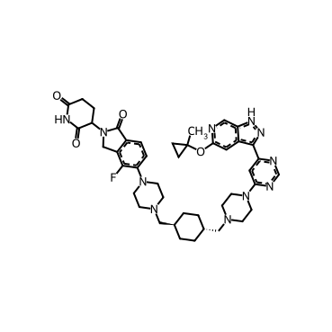 CC1(Oc2cc3c(-c4cc(N5CCN(C[C@H]6CC[C@H](CN7CCN(c8ccc9c(c8F)CN(C8CCC(=O)NC8=O)C9=O)CC7)CC6)CC5)ncn4)n[nH]c3cn2)CC1